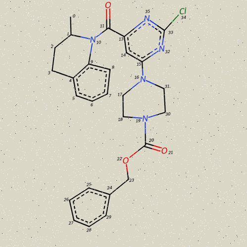 CC1CCc2ccccc2N1C(=O)c1cc(N2CCN(C(=O)OCc3ccccc3)CC2)nc(Cl)n1